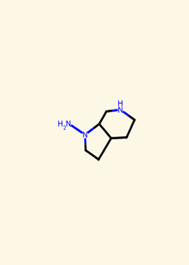 NN1CCC2CCNCC21